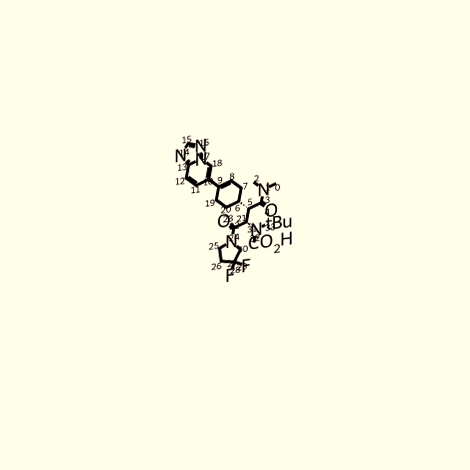 CN(C)C(=O)[C@@H](C1CC=C(c2ccc3ncnn3c2)CC1)[C@@H](C(=O)N1CCC(F)(F)C1)N(C(=O)O)C(C)(C)C